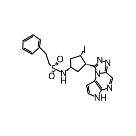 O=S(=O)(CCc1ccccc1)N[C@H]1C[C@@H](I)[C@@H](c2nnc3cnc4[nH]ccc4n23)C1